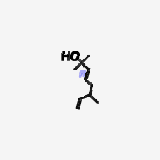 C=CC(C)C/C=C/C(C)(C)O